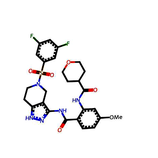 COc1ccc(C(=O)Nc2n[nH]c3c2CN(S(=O)(=O)c2cc(F)cc(F)c2)CC3)c(NC(=O)C2CCOCC2)c1